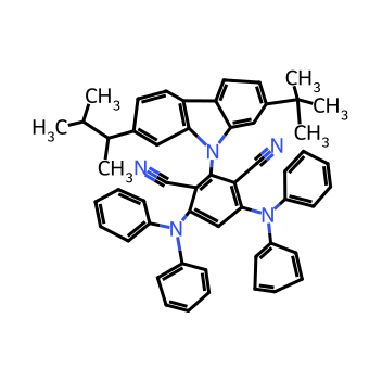 CC(C)C(C)c1ccc2c3ccc(C(C)(C)C)cc3n(-c3c(C#N)c(N(c4ccccc4)c4ccccc4)cc(N(c4ccccc4)c4ccccc4)c3C#N)c2c1